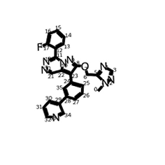 Cn1ncnc1COc1nn2c(-c3ccccc3F)nncc2c1-c1cccc(-c2cccnc2)c1